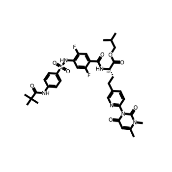 Cc1cc(=O)n(-c2ccc(CC[C@H](NC(=O)c3cc(F)c(NS(=O)(=O)c4ccc(NC(=O)C(C)(C)C)cc4)cc3F)C(=O)OCC(C)C)cn2)c(=O)n1C